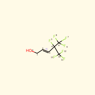 OC/C=C/C(F)(C(F)(F)F)C(F)(F)F